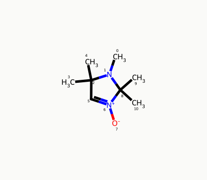 CN1C(C)(C)C=[N+]([O-])C1(C)C